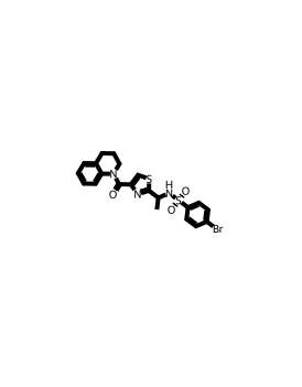 CC(NS(=O)(=O)c1ccc(Br)cc1)c1nc(C(=O)N2CCCc3ccccc32)cs1